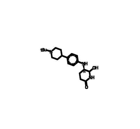 CC(C)(C)N1CCC(c2ccc(N[C@@H]3CCC(=O)NC3O)cc2)CC1